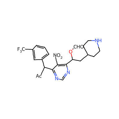 CC(=O)C(c1cccc(C(F)(F)F)c1)c1ncnc(C(CC2CCNCC2)OC=O)c1[N+](=O)[O-]